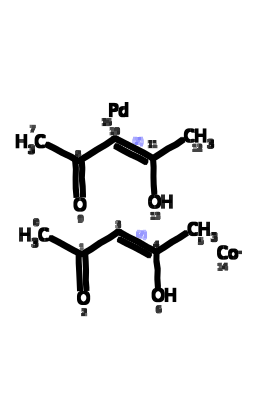 CC(=O)/C=C(/C)O.CC(=O)/C=C(/C)O.[Co].[Pd]